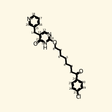 O=C(CCCCCCCOc1ncc(Cc2cccnc2)c(=O)[nH]1)c1ccc(Cl)cc1